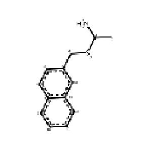 CC(N)SCc1ccc2ccccc2c1